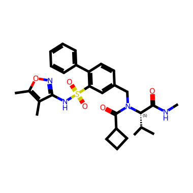 CNC(=O)[C@H](C(C)C)N(Cc1ccc(-c2ccccc2)c(S(=O)(=O)Nc2noc(C)c2C)c1)C(=O)C1CCC1